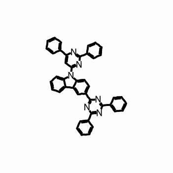 c1ccc(-c2cc(-n3c4ccccc4c4cc(-c5nc(-c6ccccc6)nc(-c6ccccc6)n5)ccc43)nc(-c3ccccc3)n2)cc1